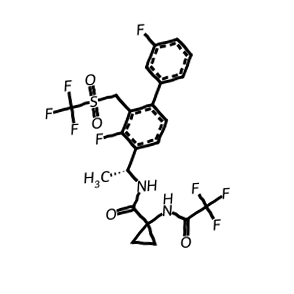 C[C@@H](NC(=O)C1(NC(=O)C(F)(F)F)CC1)c1ccc(-c2cccc(F)c2)c(CS(=O)(=O)C(F)(F)F)c1F